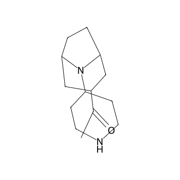 CC(=O)C1CC2CCC(C1)N2C1CCNCC1